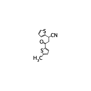 Cc1ccc(C(=O)CC(C#N)c2cccs2)s1